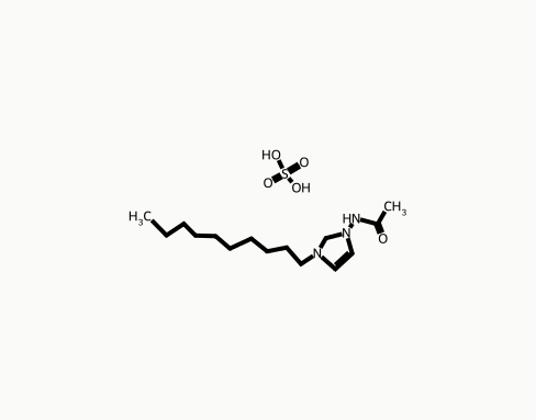 CCCCCCCCCCN1C=CN(NC(C)=O)C1.O=S(=O)(O)O